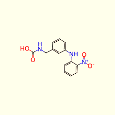 O=C(O)NCc1cccc(Nc2ccccc2[N+](=O)[O-])c1